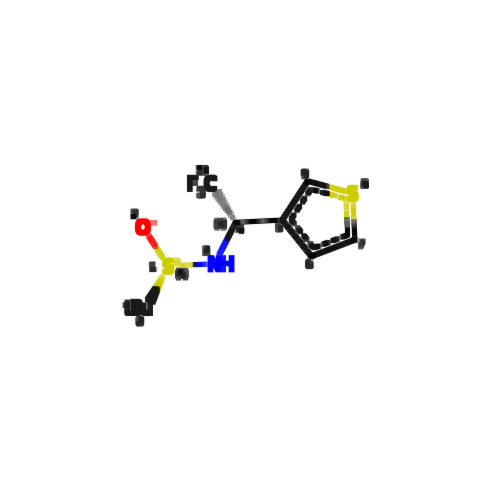 CC(C)(C)[S@@+]([O-])N[C@@H](c1ccsc1)C(F)(F)F